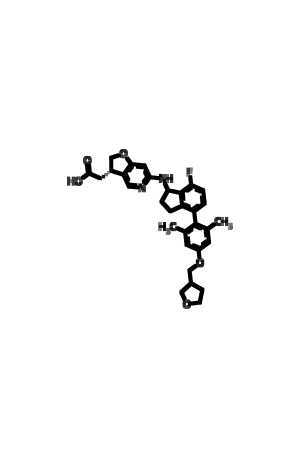 Cc1cc(OCC2CCOC2)cc(C)c1-c1ccc(F)c2c1CCC2Nc1cc2c(cn1)[C@H](CC(=O)O)CO2